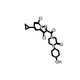 O=C(c1nn2c(Cl)cc(C3CC3)cc2c1Cl)N1CCN(C2CCC(O)CC2)C(=O)C1